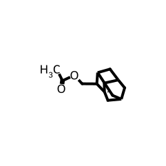 CC(=O)OCC1[C]2CC3CC(C2)CC1C3